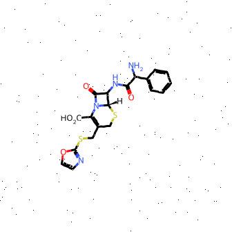 NC(C(=O)NC1C(=O)N2C(C(=O)O)=C(CSc3ncco3)CS[C@@H]12)c1ccccc1